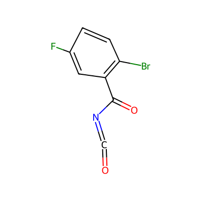 O=C=NC(=O)c1cc(F)ccc1Br